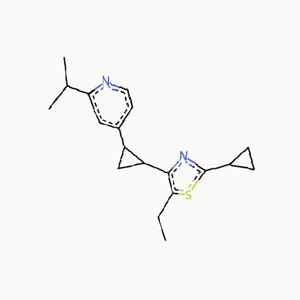 CCc1sc(C2CC2)nc1C1CC1c1ccnc(C(C)C)c1